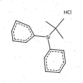 CC(C)(C)[Si](c1ccccc1)c1ccccc1.Cl